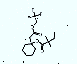 CCC(C)(C)C(=O)OC1(CC(=O)OCC(F)(F)F)CCCCC1